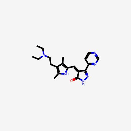 CCN(CC)CCc1c(C)[nH]c(C=C2C(=O)NN=C2c2ccncn2)c1C